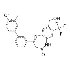 Cc1cc(-c2cccc(C3=Nc4cc(CO)c(C(F)(F)F)cc4NC(=O)C3)c2)cc[n+]1[O-]